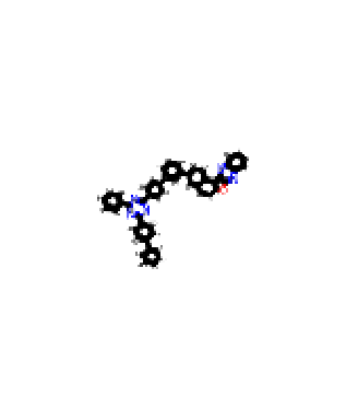 C1=Cc2oc3nc4ccccc4nc3c2C2CC=C(c3cccc(-c4ccc(-c5nc(-c6ccccc6)nc(-c6ccc(-c7ccccc7)cc6)n5)cc4)c3)C=C12